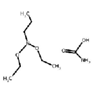 CCCN(OCC)OCC.NC(=O)O